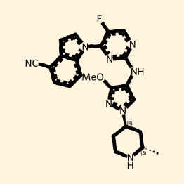 COc1nn([C@@H]2CCN[C@@H](C)C2)cc1Nc1ncc(F)c(-n2ccc3c(C#N)cccc32)n1